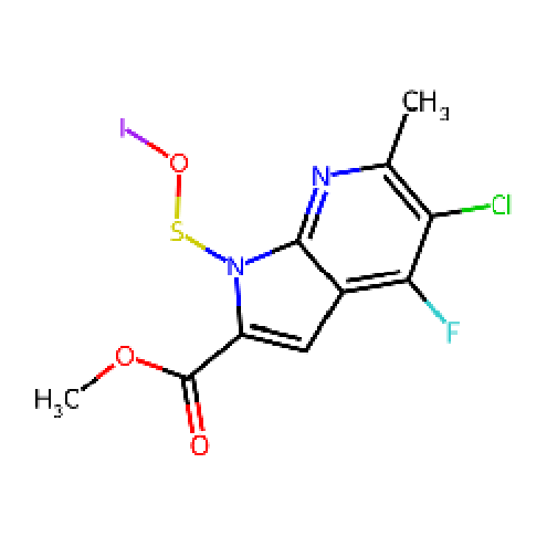 COC(=O)c1cc2c(F)c(Cl)c(C)nc2n1SOI